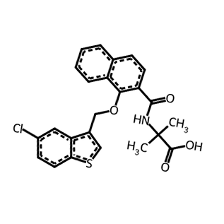 CC(C)(NC(=O)c1ccc2ccccc2c1OCc1csc2ccc(Cl)cc12)C(=O)O